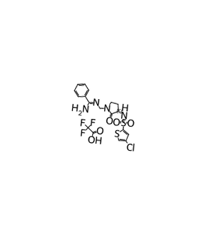 NC(=NCN1CC[C@H](NS(=O)(=O)c2cc(Cl)cs2)C1=O)c1ccccc1.O=C(O)C(F)(F)F